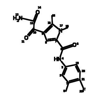 Cc1cc(NC(=O)c2cc(C(=O)C(N)=O)c(C)n2C)ccc1F